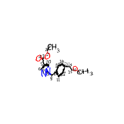 CCOC(=O)c1cnn(Cc2ccc(CCOC)cc2)c1